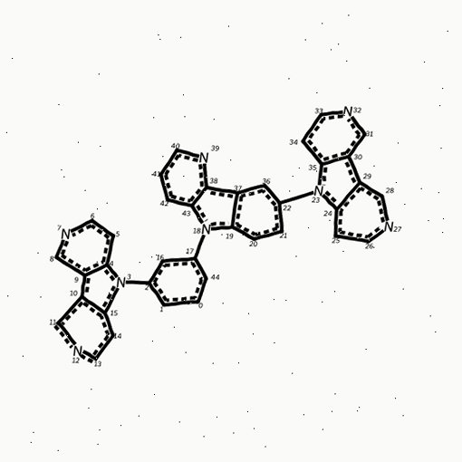 c1cc(-n2c3ccncc3c3cnccc32)cc(-n2c3ccc(-n4c5ccncc5c5cnccc54)cc3c3ncccc32)c1